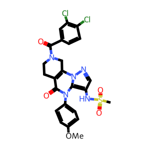 COc1ccc(-n2c(=O)c3c(n4ncc(NS(C)(=O)=O)c24)CN(C(=O)c2ccc(Cl)c(Cl)c2)CC3)cc1